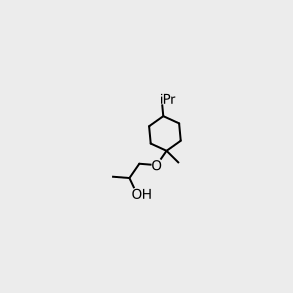 CC(O)COC1(C)CCC(C(C)C)CC1